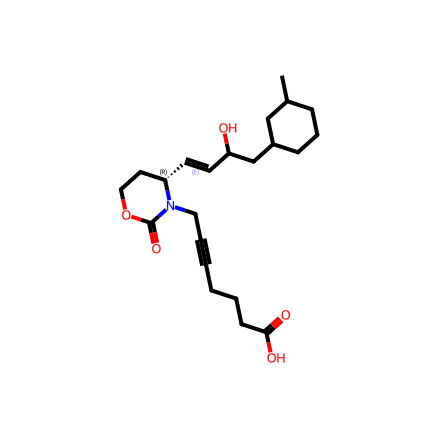 CC1CCCC(CC(O)/C=C/[C@H]2CCOC(=O)N2CC#CCCCC(=O)O)C1